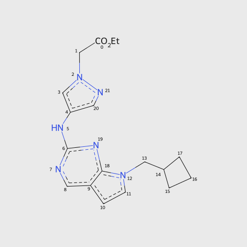 CCOC(=O)Cn1cc(Nc2ncc3ccn(CC4CCC4)c3n2)cn1